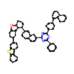 c1ccc(-c2nc(-c3ccc(-c4cccc5ccccc45)cc3)nc(-c3ccc4ccc(-c5cccc6oc7ccc(-c8ccc9c(c8)sc8ccccc89)cc7c56)cc4c3)n2)cc1